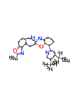 [2H]C([2H])([2H])c1cnc(-c2cccc(N)c2Oc2ccc3ccc4oc(C(C)(C)C)nc4c3c2)cc1C([2H])([2H])C(C)(C)C